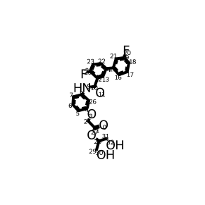 O=C(COc1cccc(NC(=O)c2cc(-c3cccc(F)c3)ccc2F)c1)OC(CO)CO